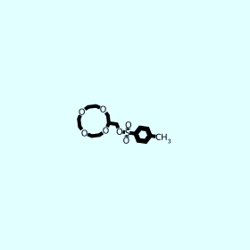 Cc1ccc(S(=O)(=O)OCC2COCCOCCOCCO2)cc1